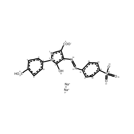 O=C([O-])c1nn(-c2ccc(S(=O)(=O)O)cc2)c(O)c1N=Nc1ccc(S(=O)(=O)[O-])cc1.[Na+].[Na+]